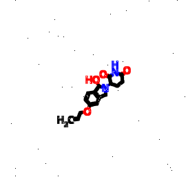 C=CCOc1ccc2c(c1)CN([C@H]1CCC(=O)NC1=O)C2O